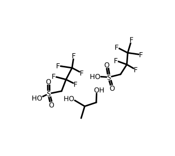 CC(O)CO.O=S(=O)(O)CC(F)(F)C(F)(F)F.O=S(=O)(O)CC(F)(F)C(F)(F)F